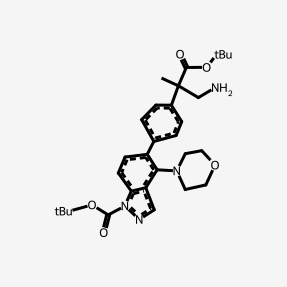 CC(C)(C)OC(=O)n1ncc2c(N3CCOCC3)c(-c3ccc(C(C)(CN)C(=O)OC(C)(C)C)cc3)ccc21